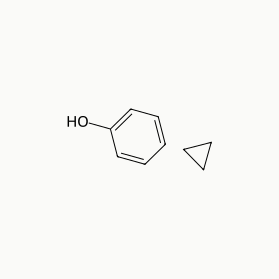 C1CC1.Oc1ccccc1